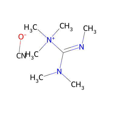 CN=C(N(C)C)[N+](C)(C)C.N#C[O-]